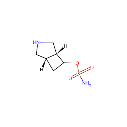 NS(=O)(=O)OC1C[C@@H]2CNC[C@H]12